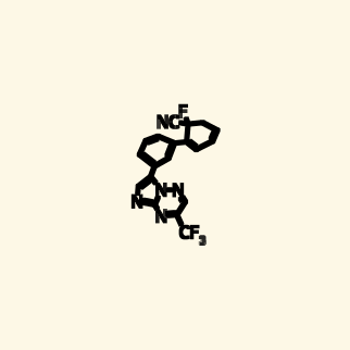 N#CC1(F)CC=CC=C1c1cccc(-c2cnc3nc(C(F)(F)F)cnn23)c1